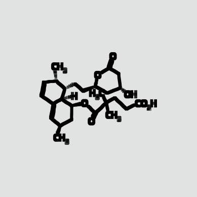 C[C@H]1C=C2C=C[C@H](C)[C@H](CC[C@@H]3C[C@@H](O)CC(=O)O3)[C@H]2[C@@H](OC(=O)C(C)(C)CCC(=O)O)C1